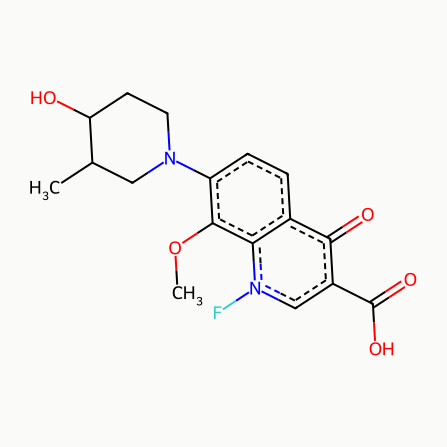 COc1c(N2CCC(O)C(C)C2)ccc2c(=O)c(C(=O)O)cn(F)c12